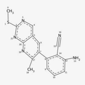 CSc1ncc2cc(-c3cccc(N)c3C#N)c(C)nc2n1